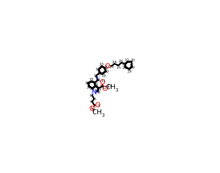 COC(=O)CCCn1cc(C(=O)OC)c2c(/C=C/c3ccc(OCCCCc4ccccc4)cc3)cccc21